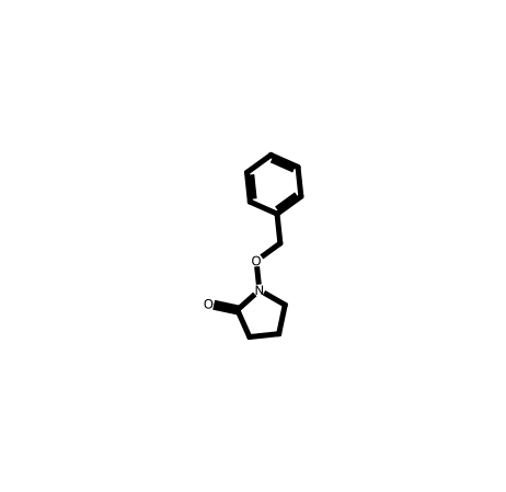 O=C1CCCN1OCc1ccccc1